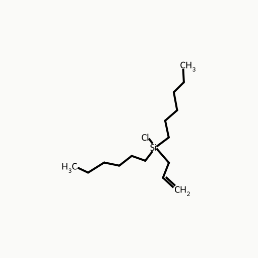 C=CC[Si](Cl)(CCCCCC)CCCCCC